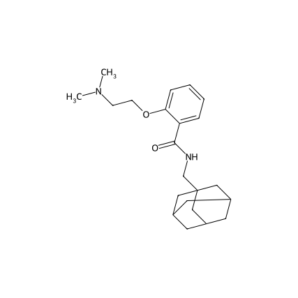 CN(C)CCOc1ccccc1C(=O)NCC12CC3CC(CC(C3)C1)C2